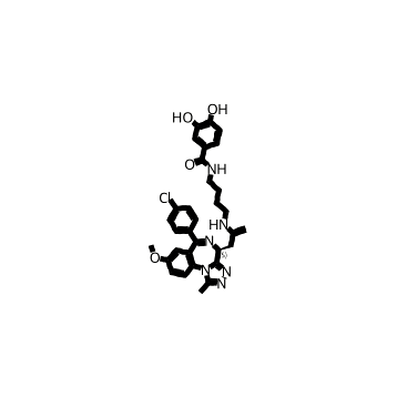 C=C(C[C@@H]1N=C(c2ccc(Cl)cc2)c2cc(OC)ccc2-n2c(C)nnc21)NCCCCNC(=O)c1ccc(O)c(O)c1